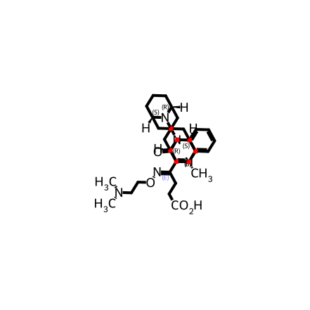 C[C@@H]1C[C@H]2CC(N3[C@@H]4CCC[C@H]3CC(n3c(=O)c(/C(CCC(=O)O)=N/OCCN(C)C)nc5ccccc53)C4)C[C@@H](C1)C2